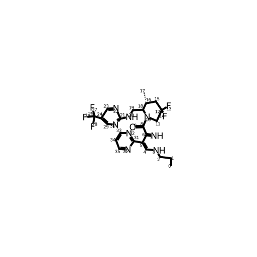 CCCN/C=C(\C(=N)C(=O)N1CC(F)(F)C[C@@H](C)C1CNc1ncc(C(F)(F)F)cn1)c1ncccn1